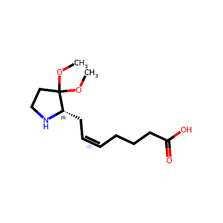 COC1(OC)CCN[C@H]1C/C=C\CCCC(=O)O